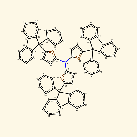 c1ccc(C2(c3ccc(N(c4ccc(C5(c6ccccc6)c6ccccc6-c6ccccc65)s4)c4ccc(C5(c6ccccc6)c6ccccc6-c6ccccc65)s4)s3)c3ccccc3-c3ccccc32)cc1